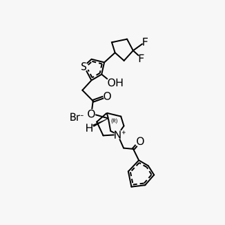 O=C(Cc1scc(C2CCC(F)(F)C2)c1O)O[C@H]1C[N+]2(CC(=O)c3ccccc3)CCC1CC2.[Br-]